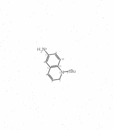 CC(C)(C)N1CC=Cc2cc(N)ccc21